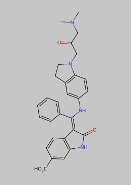 CN(C)CC(=O)CN1CCc2cc(N/C(=C3\C(=O)Nc4cc(C(=O)O)ccc43)c3ccccc3)ccc21